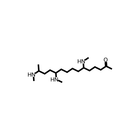 CNC(C)CCC(CCCCC(CCCC(C)=O)NC)NC